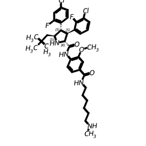 CNCCCCCCNC(=O)c1ccc(NC(=O)[C@@H]2N[C@@H](CC(C)(C)C)[C@H](c3ccc(Cl)cc3F)[C@H]2c2cccc(Cl)c2F)c(OC)c1